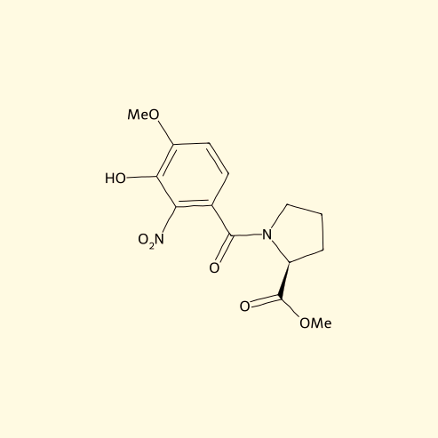 COC(=O)[C@@H]1CCCN1C(=O)c1ccc(OC)c(O)c1[N+](=O)[O-]